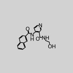 O=C(Nc1ccncc1C(=O)NCCO)c1ccc2ccccc2c1